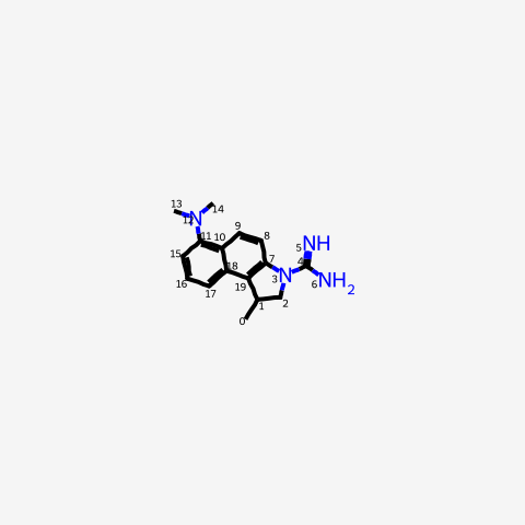 CC1CN(C(=N)N)c2ccc3c(N(C)C)cccc3c21